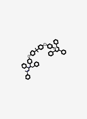 C/C(=C\C(=C(/Cc1ccccc1)c1ccc(Oc2ccc(C(C)(C)c3ccc(Oc4ccc(-[n+]5c(-c6ccccc6)cc(-c6ccccc6)cc5-c5ccccc5)cc4)cc3)cc2)cc1)c1ccccc1)c1ccccc1